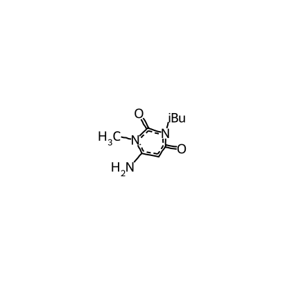 CCC(C)n1c(=O)cc(N)n(C)c1=O